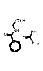 NC(N)=O.O=C(O)CNC(=O)c1ccccc1